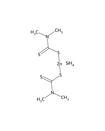 CN(C)C(=S)[S][Zn][S]C(=S)N(C)C.[SiH4]